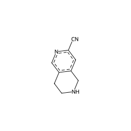 N#Cc1cc2c(cn1)CCNC2